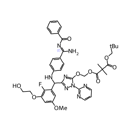 COc1cc(OCCO)c(F)c(C(Nc2ccc(/C(N)=N/C(=O)c3ccccc3)cc2)c2nc(OCOC(=O)C(C)(C)C(=O)OCC(C)(C)C)n(-c3ncccn3)n2)c1